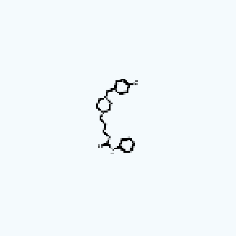 O=C(Nc1ccccc1)SCCCN1CCN(Cc2ccc(Cl)cc2)CC1